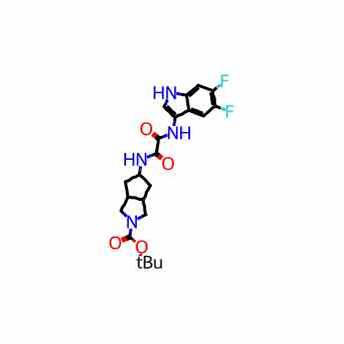 CC(C)(C)OC(=O)N1CC2CC(NC(=O)C(=O)Nc3c[nH]c4cc(F)c(F)cc34)CC2C1